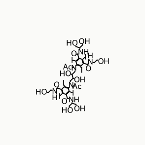 CC(=O)N(CC(O)C(O)CN(C(C)=O)c1c(I)c(C(=O)NCCO)c(I)c(C(=O)NC(CO)CO)c1I)c1c(I)c(C(=O)NCCO)c(I)c(C(=O)NC(CO)CO)c1I